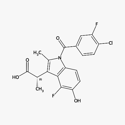 Cc1c([C@H](C)C(=O)O)c2c(F)c(O)ccc2n1C(=O)c1ccc(Cl)c(F)c1